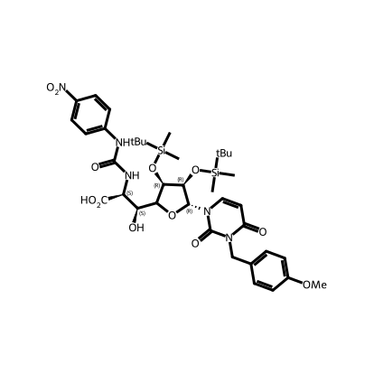 COc1ccc(Cn2c(=O)ccn([C@@H]3OC([C@@H](O)[C@H](NC(=O)Nc4ccc([N+](=O)[O-])cc4)C(=O)O)[C@@H](O[Si](C)(C)C(C)(C)C)[C@H]3O[Si](C)(C)C(C)(C)C)c2=O)cc1